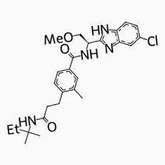 CCC(C)(C)NC(=O)CCc1ccc(C(=O)N[C@@H](COC)c2nc3cc(Cl)ccc3[nH]2)cc1C